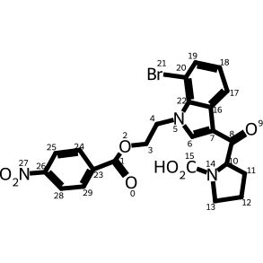 O=C(OCCn1cc(C(=O)C2CCCN2C(=O)O)c2cccc(Br)c21)c1ccc([N+](=O)[O-])cc1